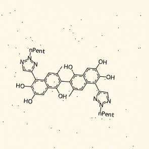 CCCCCn1ncc(-c2c(O)c(O)cc3c(O)c(-c4c(C)cc5c(-c6cnn(CCCCC)n6)c(O)c(O)cc5c4O)c(C)cc23)n1